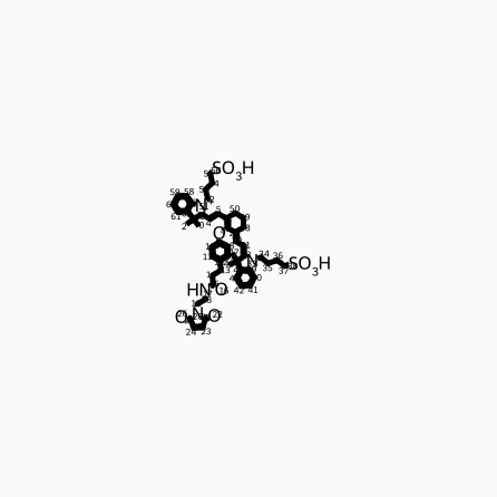 CC1(C)C(/C=C/C2=C(Oc3ccc(CCC(=O)NCCN4C(=O)C=CC4=O)cc3)C(=C/C=C3/N(CCCCS(=O)(=O)O)c4ccccc4C3(C)C)/CCC2)=[N+](CCCCS(=O)(=O)O)c2ccccc21